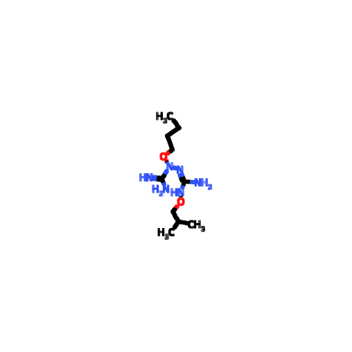 CCCCON(N=C(N)NOCC(C)C)C(=N)N